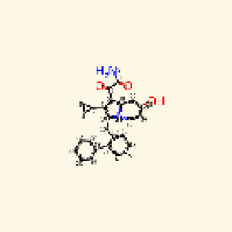 NC(=O)C(=O)c1c(C2CC2)c(Cc2ccccc2-c2ccccc2)n2ccc(O)cc12